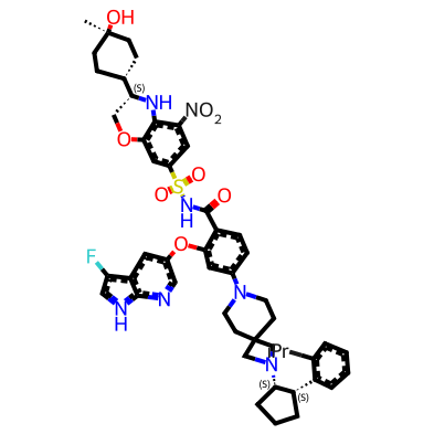 CC(C)c1ccccc1[C@@H]1CCC[C@@H]1N1CC2(CCN(c3ccc(C(=O)NS(=O)(=O)c4cc5c(c([N+](=O)[O-])c4)N[C@@H]([C@H]4CC[C@](C)(O)CC4)CO5)c(Oc4cnc5[nH]cc(F)c5c4)c3)CC2)C1